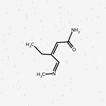 CCC(/C=N\C)=C/C(N)=O